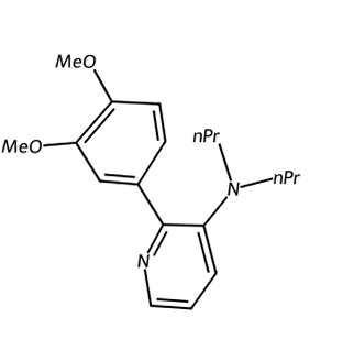 CCCN(CCC)c1cccnc1-c1ccc(OC)c(OC)c1